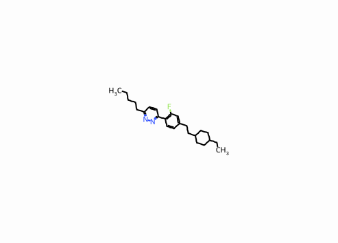 CCCCCc1ccc(-c2ccc(CCC3CCC(CC)CC3)cc2F)nn1